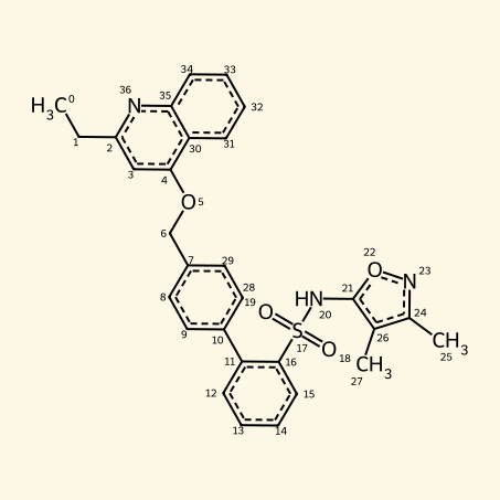 CCc1cc(OCc2ccc(-c3ccccc3S(=O)(=O)Nc3onc(C)c3C)cc2)c2ccccc2n1